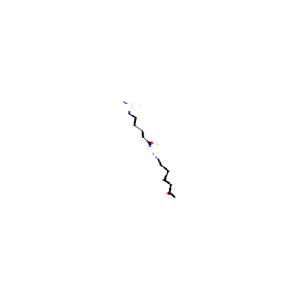 CNCCCCCC(=O)NCCCCCC(C)=O